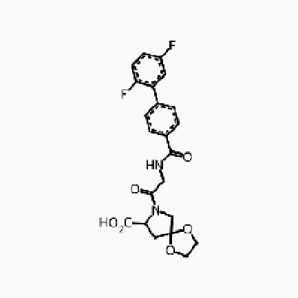 O=C(NCC(=O)N1CC2(CC1C(=O)O)OCCO2)c1ccc(-c2cc(F)ccc2F)cc1